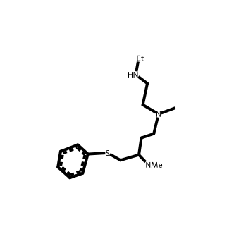 CCNCCN(C)CCC(CSc1ccccc1)NC